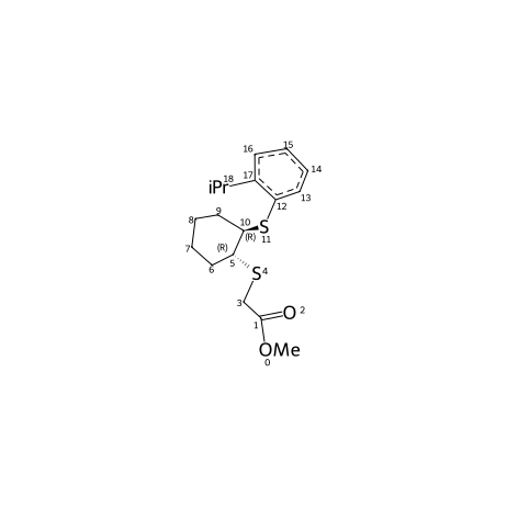 COC(=O)CS[C@@H]1CCCC[C@H]1Sc1ccccc1C(C)C